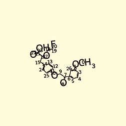 COc1cccc(C(=O)COc2ccc(CC(OCCF)C(=O)O)cc2)c1